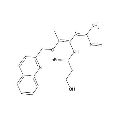 C=N/C(N)=N\C(N[C@@H](CCC)CCO)=C(/C)OCc1ccc2ccccc2n1